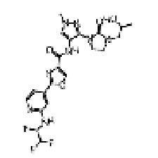 CC(O)CN1CCN(c2nn(C)cc2NC(=O)c2coc(-c3ccnc(NC(F)C(F)F)c3)n2)C1=O